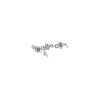 CC1CN(C(=O)OC2(C)COC2)CCN1c1ncc(OCc2ccc(S(C)(=O)=O)cc2)cn1